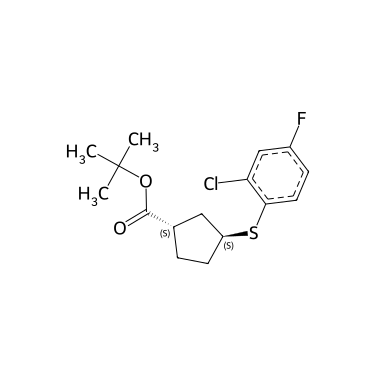 CC(C)(C)OC(=O)[C@H]1CC[C@H](Sc2ccc(F)cc2Cl)C1